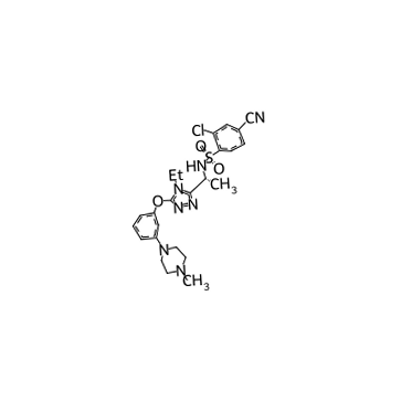 CCn1c(Oc2cccc(N3CCN(C)CC3)c2)nnc1[C@@H](C)NS(=O)(=O)c1ccc(C#N)cc1Cl